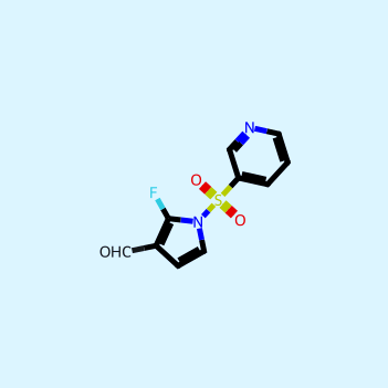 O=Cc1ccn(S(=O)(=O)c2cccnc2)c1F